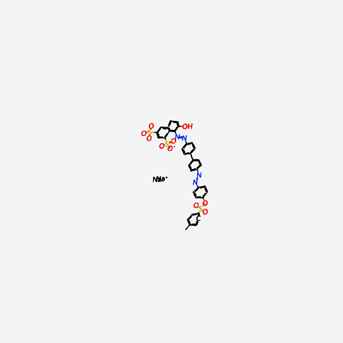 Cc1ccc(S(=O)(=O)Oc2ccc(N=Nc3ccc(-c4ccc(N=Nc5c(O)ccc6cc(S(=O)(=O)[O-])cc(S(=O)(=O)[O-])c56)cc4)cc3)cc2)cc1.[Na+].[Na+]